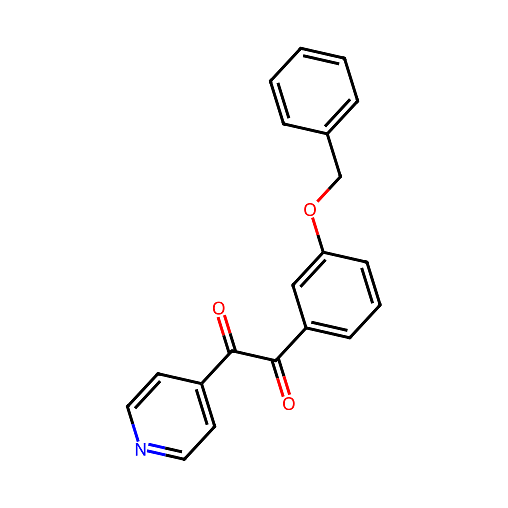 O=C(C(=O)c1cccc(OCc2ccccc2)c1)c1ccncc1